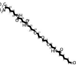 CCCCCCCCCCCCCCCC(=O)NCCCOCCOCCOCCCNC(=O)CCC(=O)NCCCC[C@H](N)C(=O)O